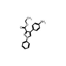 CCOC(=O)c1nn(-c2ccccc2)cc1-c1ccc(N)cc1